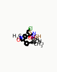 Cn1c(C(O)(c2ccc3c(c2)c(-c2cccc(C#C[Si](C)(C)C)c2)cc(=O)n3C)c2ccc(Cl)s2)cnc1S